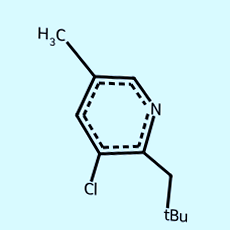 Cc1cnc(CC(C)(C)C)c(Cl)c1